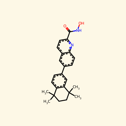 CC1(C)CCC(C)(C)c2cc(-c3ccc4nc(C(=O)NO)ccc4c3)ccc21